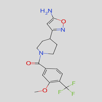 COc1cc(C(=O)N2CCC(c3cc(N)on3)CC2)ccc1C(F)(F)F